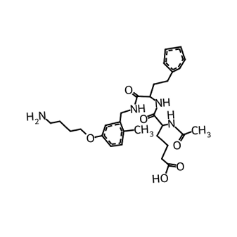 CC(=O)NC(CCCC(=O)O)C(=O)NC(CCc1ccccc1)C(=O)NCc1cc(OCCCCN)ccc1C